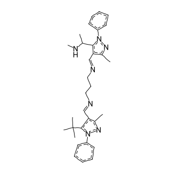 CNC(C)c1c(/C=N/CCC/N=C/c2c(C)nn(-c3ccccc3)c2C(C)(C)C)c(C)nn1-c1ccccc1